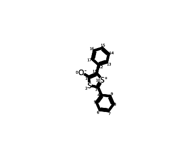 [O-]c1sc(-c2ccccc2)[s+]c1-c1ccccc1